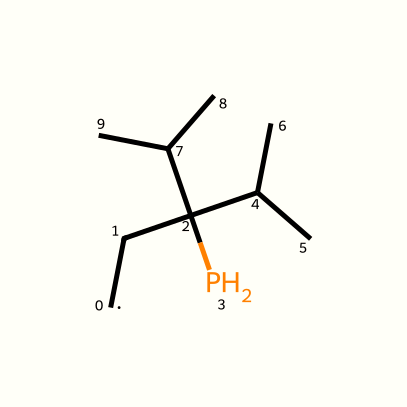 [CH2]CC(P)(C(C)C)C(C)C